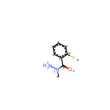 CN(N)C(=O)c1ccccc1F